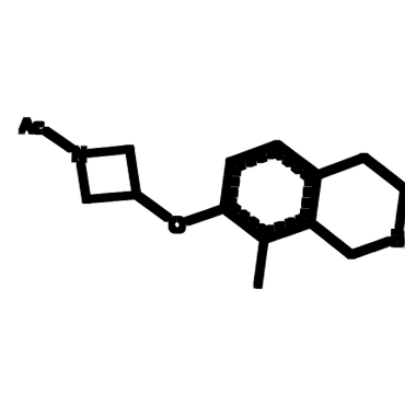 CC(=O)N1CC(Oc2ccc3c(c2C)CBCC3)C1